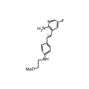 COCCNc1ccc(/C=C/c2cc(F)cnc2N)cc1